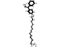 CCCCCCCCCCCCCCOc1ccc(C(C=O)c2ccccc2)cc1